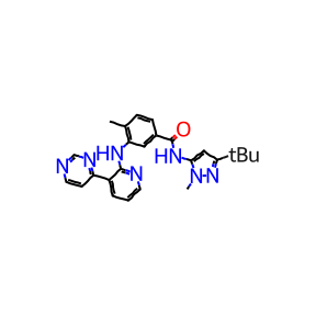 Cc1ccc(C(=O)Nc2cc(C(C)(C)C)nn2C)cc1Nc1ncccc1-c1ccncn1